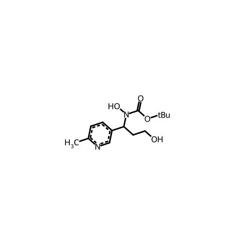 Cc1ccc(C(CCO)N(O)C(=O)OC(C)(C)C)cn1